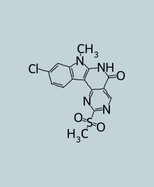 Cn1c2cc(Cl)ccc2c2c3nc(S(C)(=O)=O)ncc3c(=O)[nH]c21